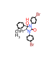 CCC[C@@H]1N(c2ccc(Br)cc2)C(=O)N(c2ccc(Br)cc2)C1(O)c1cccc(C)c1